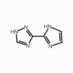 c1c[nH]c(-c2nc[nH]n2)n1